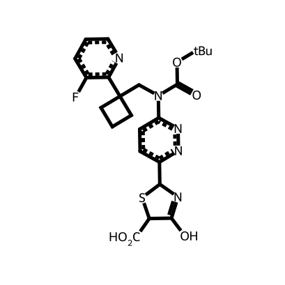 CC(C)(C)OC(=O)N(CC1(c2ncccc2F)CCC1)c1ccc(C2N=C(O)C(C(=O)O)S2)nn1